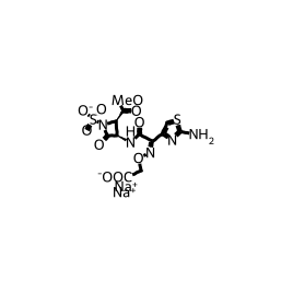 COC(=O)[C@H]1[C@@H](NC(=O)/C(=N\OCC(=O)[O-])c2csc(N)n2)C(=O)N1S(=O)(=O)[O-].[Na+].[Na+]